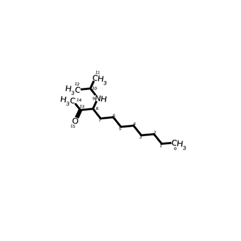 CCCCCCCCC(NC(C)C)C(C)=O